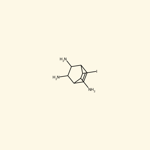 NC1C(N)C2C=CC1C(N)C2I